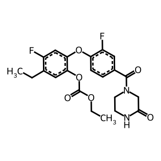 CCOC(=O)Oc1cc(CC)c(F)cc1Oc1ccc(C(=O)N2CCNC(=O)C2)cc1F